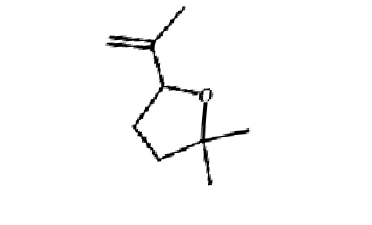 C=C(C)C1CCC(C)(C)O1